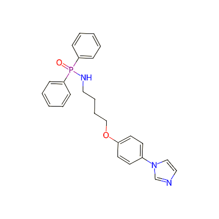 O=P(NCCCCOc1ccc(-n2ccnc2)cc1)(c1ccccc1)c1ccccc1